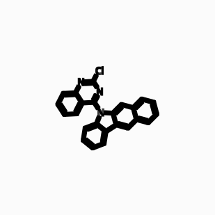 Clc1nc(-n2c3ccccc3c3cc4ccccc4cc32)c2ccccc2n1